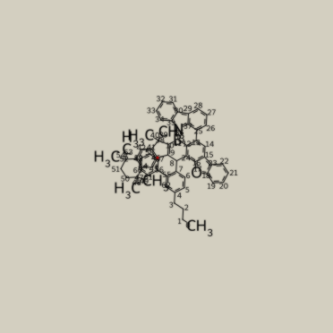 CCCCc1ccc(C2C3=C(B4c5c(cc6c(oc7ccccc76)c52)-c2cccc5c6ccccc6n4c25)C(C)(C)c2cc4c(cc23)C(C)(C)CCC4(C)C)c(-c2ccccc2)c1